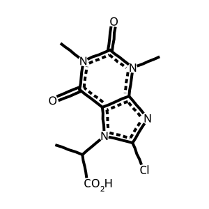 CC(C(=O)O)n1c(Cl)nc2c1c(=O)n(C)c(=O)n2C